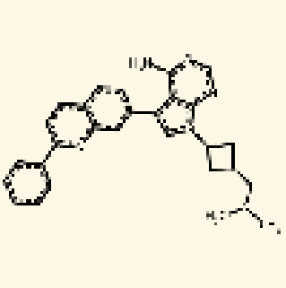 CN(C)C[C@H]1C[C@@H](n2cc(-c3ccc4ccc(-c5ccccc5)nc4c3)c3c(N)ncnc32)C1